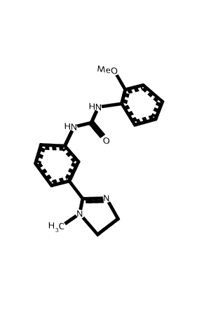 COc1ccccc1NC(=O)Nc1cccc(C2=NCCN2C)c1